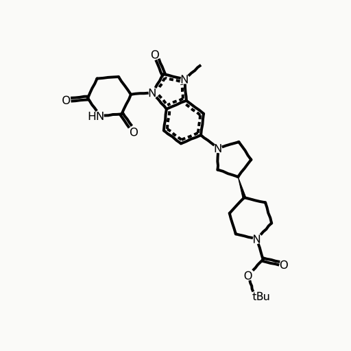 Cn1c(=O)n(C2CCC(=O)NC2=O)c2ccc(N3CC[C@@H](C4CCN(C(=O)OC(C)(C)C)CC4)C3)cc21